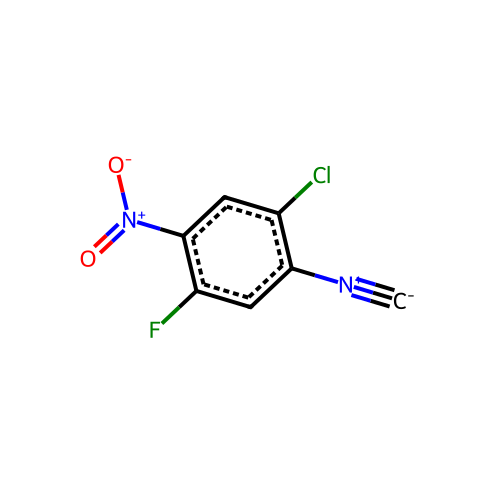 [C-]#[N+]c1cc(F)c([N+](=O)[O-])cc1Cl